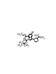 CCOC(=O)c1cc(Br)cc2c(C3CCSC(C(C)C)C3)cn(C(=O)OC(C)(C)C)c12